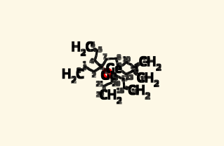 C=CCC1(CC=C)C[CH2][Ge]([CH2]C=C)([CH2]C=C)[Ge]([CH2]C=C)([CH2]C=C)[O]1